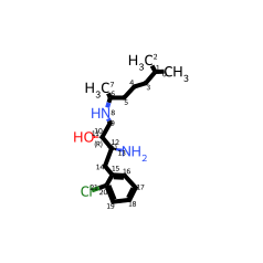 CC(C)CCCC(C)NC[C@@H](O)[C@@H](N)Cc1ccccc1Cl